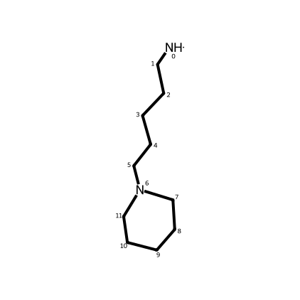 [NH]CCCCCN1CCCCC1